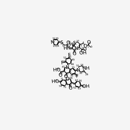 CC(=O)OCC1=C(C(=O)O)N2C(=O)[C@@H](NC(=O)CSc3ccncc3)[C@H]2SC1.CC1CN(c2cc3c(cc2F)c(=O)c(C(=O)O)cn3-c2ccc(F)cc2F)CCN1.O=c1c(-c2ccc(O)cc2)coc2cc(O)ccc12